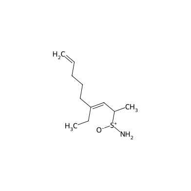 C=CCCCC(=CC(C)[S+](N)[O-])CC